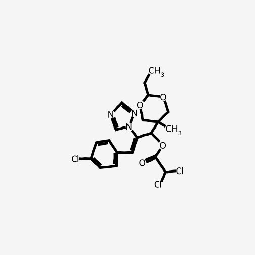 CCC1OCC(C)(C(OC(=O)C(Cl)Cl)C(=Cc2ccc(Cl)cc2)n2cncn2)CO1